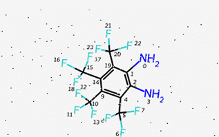 Nc1c(N)c(C(F)(F)F)c(C(F)(F)F)c(C(F)(F)F)c1C(F)(F)F